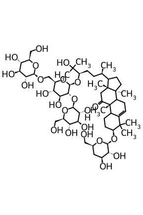 C[C@H](CC[C@@H](O[C@@H]1O[C@H](CO[C@@H]2O[C@H](CO)[C@@H](O)[C@H](O)[C@H]2O)[C@@H](O)[C@H](O)[C@H]1O[C@@H]1O[C@H](CO)[C@@H](O)[C@H](O)[C@H]1O)C(C)(C)O)C1CC[C@@]2(C)C3CC=C4C(CC[C@H](O[C@@H]5O[C@H](CO)C[C@H](O)[C@H]5O)C4(C)C)[C@]3(C)C(=O)C[C@]12C